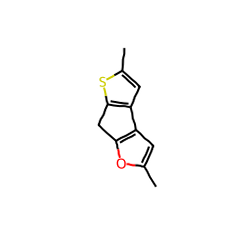 Cc1cc2c(o1)Cc1sc(C)cc1-2